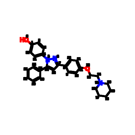 Oc1ccc(-n2nc(-c3ccc(OCCN4CCCCC4)cc3)cc2-c2ccccc2)cc1